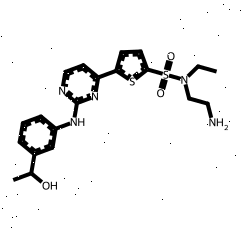 CCN(CCN)S(=O)(=O)c1ccc(-c2ccnc(Nc3cccc(C(C)O)c3)n2)s1